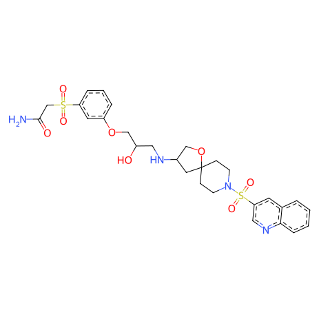 NC(=O)CS(=O)(=O)c1cccc(OCC(O)CNC2COC3(CCN(S(=O)(=O)c4cnc5ccccc5c4)CC3)C2)c1